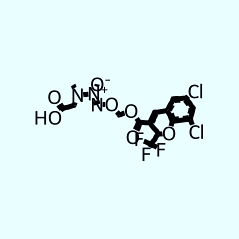 CN(CC(=O)O)/[N+]([O-])=N/OCOC(=O)C1=Cc2cc(Cl)cc(Cl)c2OC1C(F)(F)F